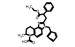 CCOC(=O)C(Cc1nc2c3c(ccc2n1Cc1ccccc1)N(C(=O)O)[C@@H](C)CC3)c1ccccc1